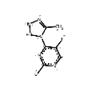 CC1=NNNN1c1nc(Cl)ncc1F